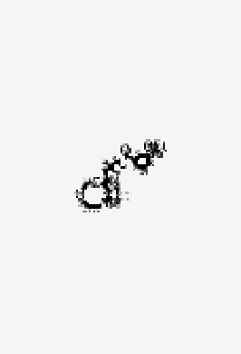 CCn1nc(CC(C)(C)COC(=O)c2cccc(S(=O)(=O)CC)c2)c2c1C(=O)NCCCOCCC2